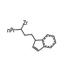 CCC[CH]([Zr])CCC1C=Cc2ccccc21